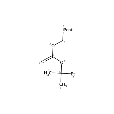 CCCC(C)COC(=O)OC(C)(C)CC